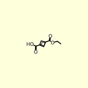 CCOC(=O)C12CC(C(=O)O)(C1)C2